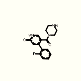 O=C(c1c[nH]c(=O)cc1-c1ccccc1F)N1CCNCC1